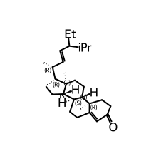 CCC(C=C[C@@H](C)[C@H]1CC[C@H]2[C@@H]3CCC4=CC(=O)CC[C@]4(C)[C@H]3CC[C@]12C)C(C)C